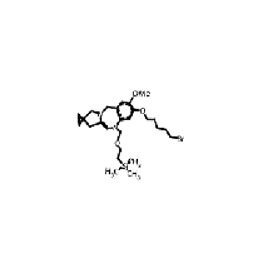 COc1cc2c(cc1OCCCCCBr)N(COCC[Si](C)(C)C)C=C1CC3(CC3)CN1C2